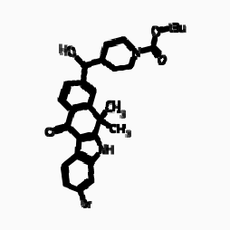 CC(C)(C)OC(=O)N1CCC(C(O)c2ccc3c(c2)C(C)(C)c2[nH]c4cc(Br)ccc4c2C3=O)CC1